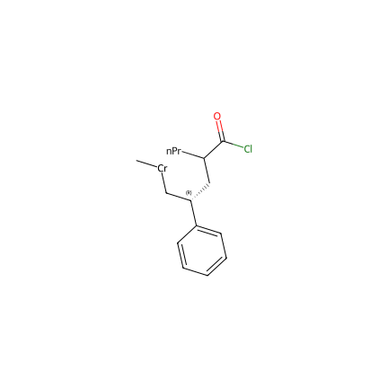 CCCC(C[C@@H]([CH2][Cr][CH3])c1ccccc1)C(=O)Cl